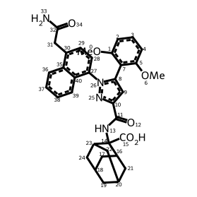 COc1cccc(OC)c1-c1cc(C(=O)NC2(C(=O)O)C3CC4CC(C3)CC2C4)nn1-c1ccc(CC(N)=O)c2ccccc12